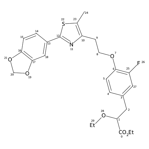 CCOC(=O)C(Cc1ccc(OCCc2nc(-c3ccc4c(c3)OCO4)sc2C)c(F)c1)OCC